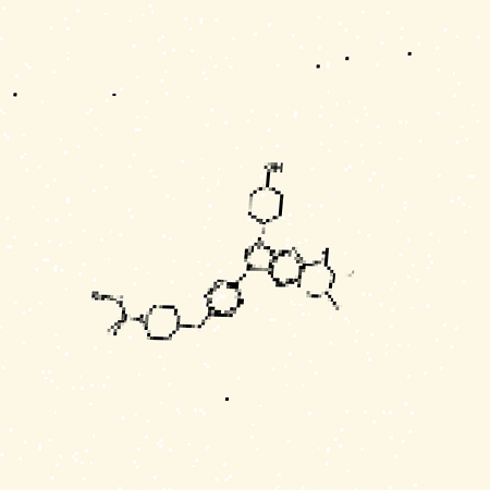 C[C@@H](Nc1ncc2c(-c3ccc(CN4CCN(C(=O)OC(C)(C)C)CC4)cc3)cn([C@H]3CC[C@H](O)CC3)c2n1)C(F)F